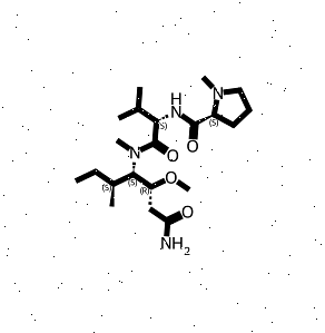 CC[C@H](C)[C@@H]([C@@H](CC(N)=O)OC)N(C)C(=O)[C@@H](NC(=O)[C@@H]1CCCN1C)C(C)C